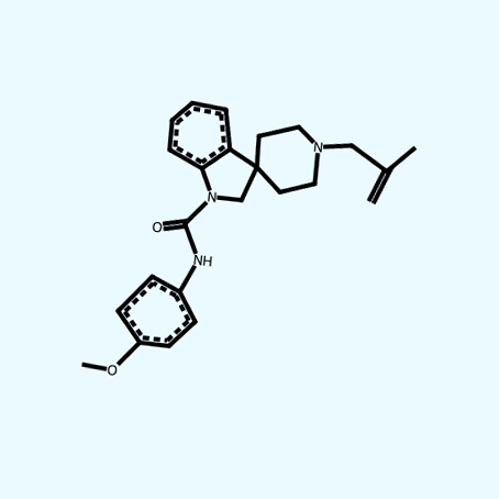 C=C(C)CN1CCC2(CC1)CN(C(=O)Nc1ccc(OC)cc1)c1ccccc12